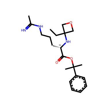 CCC1(N[C@@H](CCCNC(C)=N)C(=O)OC(C)(C)c2ccccc2)COC1